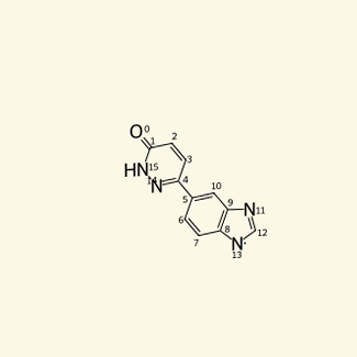 O=c1ccc(-c2ccc3c(c2)N=C[N]3)n[nH]1